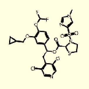 Cn1cnc(S(=O)(=O)N2CCS[C@H]2C(=O)O[C@@H](Cc2c(Cl)cncc2Cl)c2ccc(OC(F)F)c(OCC3CC3)c2)c1